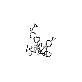 NC1CC2CCC(C1)N2C(=O)[C@H](NS(=O)(=O)c1ccc2cc(OC3CC3)ccc2c1)C(F)(F)c1ccc(Br)cc1.O=C(O)C(F)(F)F